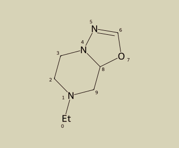 CCN1CCN2N=COC2C1